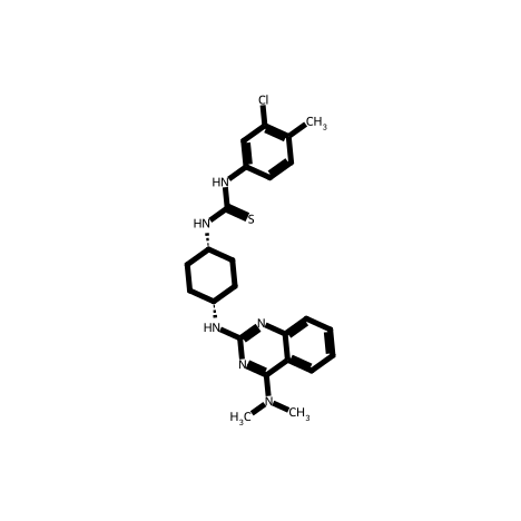 Cc1ccc(NC(=S)N[C@H]2CC[C@@H](Nc3nc(N(C)C)c4ccccc4n3)CC2)cc1Cl